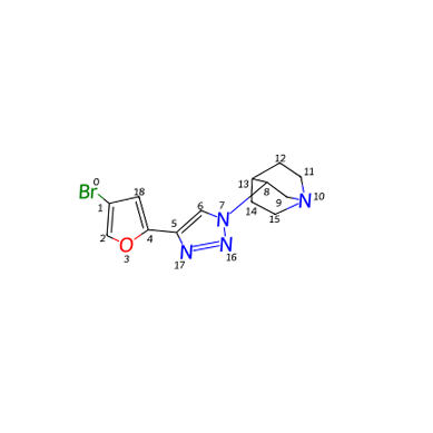 Brc1coc(-c2cn(C3CN4CCC3CC4)nn2)c1